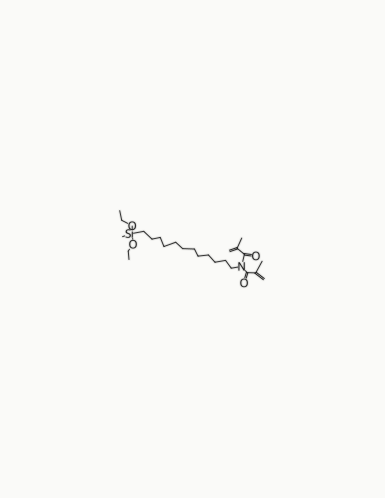 C=C(C)C(=O)N(CCCCCCCCCCCC[Si](C)(OCC)OCC)C(=O)C(=C)C